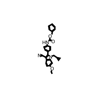 CCOc1ccc2c(C#N)c(-c3ccc(NC(=O)OCc4ccccc4)cc3)n(CC3CC3)c2c1